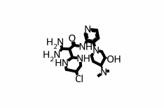 CN(C)[C@H]1CCN(c2ccncc2NC(=O)C(C(N)N)C2NCC(Cl)CN2)C[C@@H]1O